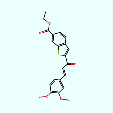 CCOC(=O)c1ccc2cc(C(=O)/C=C/c3ccc(OC)c(OC)c3)sc2c1